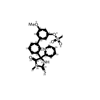 COc1cc(OS(C)(=O)=O)cc(-c2cccc(C3(c4ccccn4)NC(=S)N(C)C3=O)c2)c1